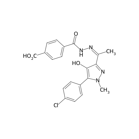 CC(=NNC(=O)c1ccc(C(=O)O)cc1)c1nn(C)c(-c2ccc(Cl)cc2)c1O